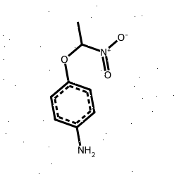 CC(Oc1ccc(N)cc1)[N+](=O)[O-]